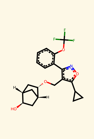 O[C@@H]1C[C@@H]2C[C@H]1C[C@@H]2OCc1c(-c2ccccc2OC(F)(F)F)noc1C1CC1